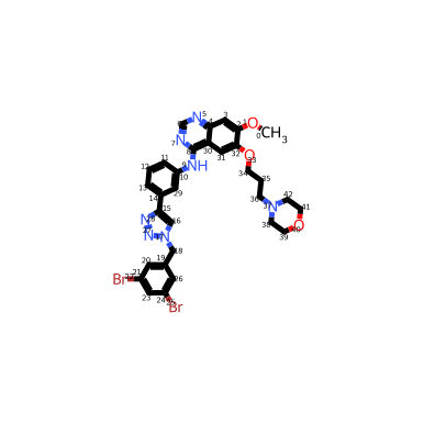 COc1cc2ncnc(Nc3cccc(-c4cn(Cc5cc(Br)cc(Br)c5)nn4)c3)c2cc1OCCCN1CCOCC1